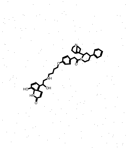 O=C(Cc1ccc(OCCCCNCC(O)c2ccc(O)c3[nH]c(=O)ccc23)cc1)N1CCC(c2ccccc2)CC1C1CN2CCC1CC2